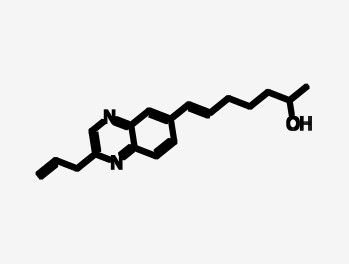 C=CCc1cnc2cc(/C=C/CCCC(C)O)ccc2n1